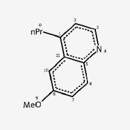 CCCc1ccnc2ccc(OC)cc12